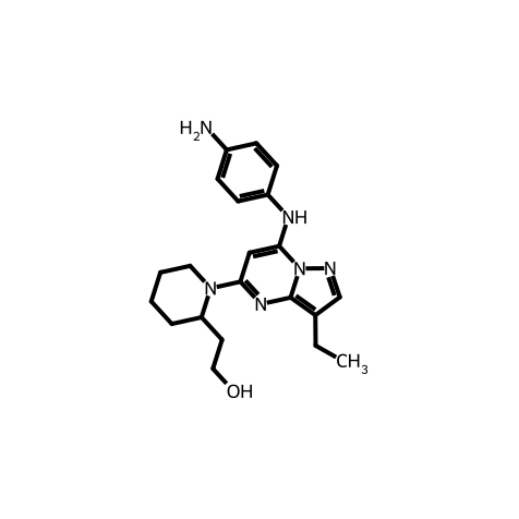 CCc1cnn2c(Nc3ccc(N)cc3)cc(N3CCCCC3CCO)nc12